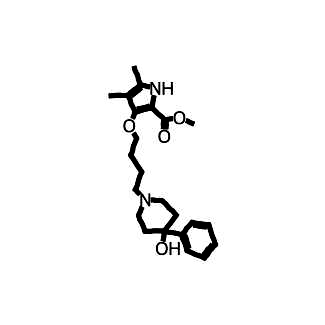 COC(=O)c1[nH]c(C)c(C)c1OCCCCN1CCC(O)(c2ccccc2)CC1